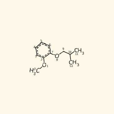 COc1ccccc1OCC(C)C